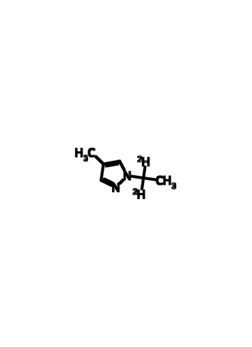 [2H]C([2H])(C)n1cc(C)cn1